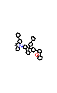 CC1(C)c2ccccc2N(c2ccc3c(c2)-c2ccccc2C3(c2ccc(-c3ccccc3)cc2)c2ccc(-c3cccc4c3oc3ccccc34)cc2)c2ccc(-c3ccccc3)cc21